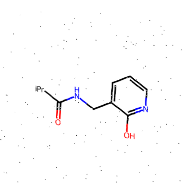 CC(C)C(=O)NCc1cccnc1O